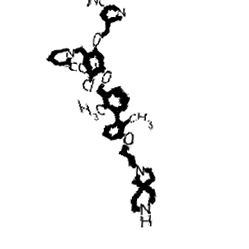 Cc1c(COc2cc(OCc3cncc(C#N)c3)c(CN3CCCC[C@H]3C(=O)O)cc2Cl)cccc1-c1cccc(OCCCN2CCC3(CCNCC3)C2)c1C